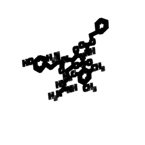 Cc1cc(C)c(S(=O)(=O)N(NC(=O)OCc2ccccc2)C(=O)[C@@H](CCCNC(=N)N)NC(=O)[C@@H](N)Cc2ccc(O)cc2)c(C)c1